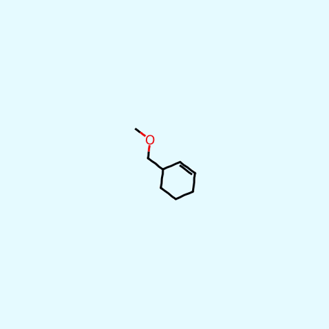 COCC1C=CCCC1